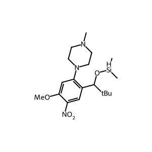 COc1cc(N2CCN(C)CC2)c(C(O[SiH](C)C)C(C)(C)C)cc1[N+](=O)[O-]